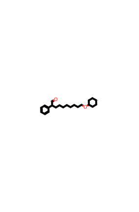 O=[C]C(CCCCCCCCOC1CC[CH]CC1)c1ccccc1